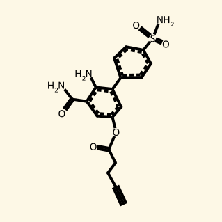 C#CCCC(=O)Oc1cc(C(N)=O)c(N)c(-c2ccc(S(N)(=O)=O)cc2)c1